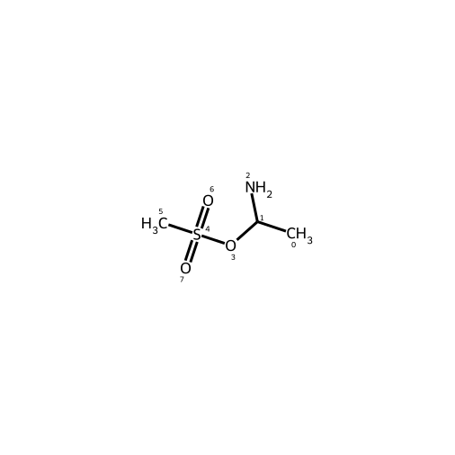 CC(N)OS(C)(=O)=O